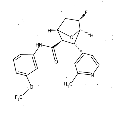 Cc1cc([C@H]2[C@H]3O[C@H](C[C@H]3F)[C@@H]2C(=O)Nc2cccc(OC(F)(F)F)c2)ccn1